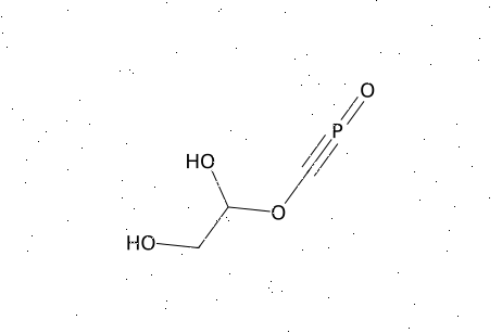 O=P#COC(O)CO